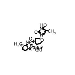 Cc1cn([C@H]2CN(P(=O)(N=C3N(C)CCN3C)OC(C)(C)C)C[C@@H](CC(C)(C)C)O2)c(=O)[nH]c1=O